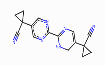 N#CC1(C2=CN=C(c3ncc(C4(C#N)CC4)cn3)N[CH]2)CC1